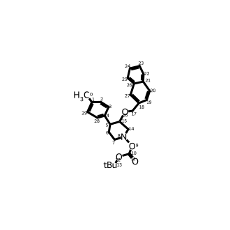 Cc1ccc(C2CCN(OC(=O)OC(C)(C)C)CC2OCc2ccc3ccccc3c2)cc1